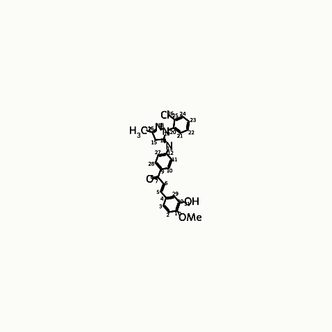 COc1ccc(/C=C/C(=O)c2ccc(/N=C3\CC(C)=NN3c3ccccc3Cl)cc2)cc1O